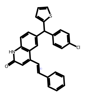 O=c1cc(/C=C/c2ccccc2)c2cc(C(c3ccc(Cl)cc3)c3cccs3)ccc2[nH]1